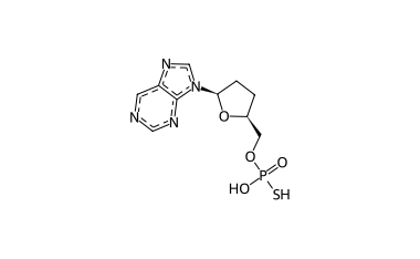 O=P(O)(S)OC[C@@H]1CC[C@H](n2cnc3cncnc32)O1